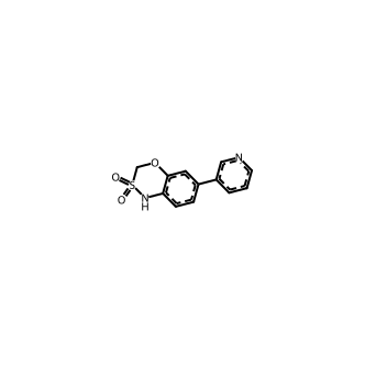 O=S1(=O)COc2cc(-c3cccnc3)ccc2N1